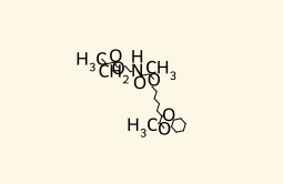 C=C(C)C(=O)OCCNC(=O)C(C)OCCCCCC(=O)C(C)OC1CCCCC1